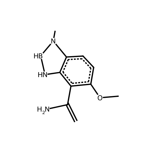 C=C(N)c1c(OC)ccc2c1NBN2C